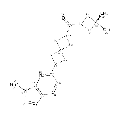 Cn1ccc2ccc(C3CC4(C3)CN(C(=O)[C@H]3C[C@@](C)(O)C3)C4)nc21